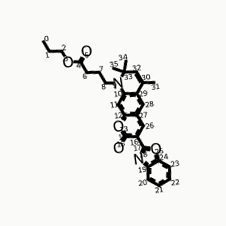 CCCOC(=O)CCCN1c2cc3oc(=O)c(-c4nc5ccccc5o4)cc3cc2C(C)=CC1(C)C